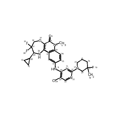 Cn1c(=O)c2c(c3cc(Nc4nc(N5CCCC(C)(F)C5)ncc4Cl)ccc31)NC(C1CC1)C(F)(F)CO2